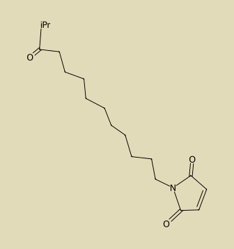 CC(C)C(=O)CCCCCCCCCCN1C(=O)C=CC1=O